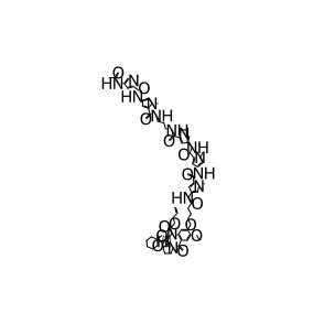 C=CCOC(=O)N1c2cc(OCCCC(=O)Nc3cc(C(=O)Nc4cc(C(=O)Nc5cc(C(=O)NCCCNC(=O)c6cc(NC(=O)c7cc(NC(C)=O)cn7C)cn6C)n(C)c5)n(C)c4)n(C)c3)c(OC)cc2C(=O)N2CCC[C@H]2[C@@H]1OC1CCCCO1